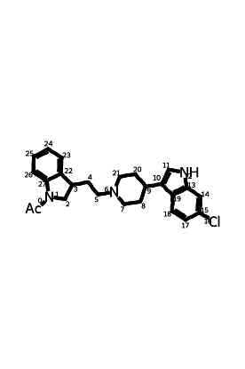 CC(=O)N1CC(CCN2CCC(c3c[nH]c4cc(Cl)ccc34)CC2)c2ccccc21